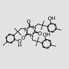 Cc1ccc(C(C)(C)Cn2c(=O)n(CC(C)(C)c3ccc(C)cc3O)c(=O)n(CC(C)(C)c3ccc(C)cc3O)c2=O)c(O)c1